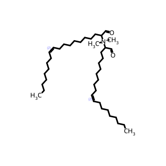 CCCCCCCC/C=C\CCCCCCCCC(C=O)[N+](C)(C)C(C=O)CCCCCCCC/C=C\CCCCCCCC